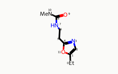 CCc1cnc(CCNC(=O)NC)o1